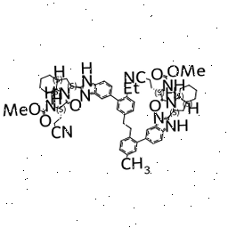 CCc1ccc(CCc2ccc(C)cc2-c2ccc3[nH]c([C@@H]4C[C@@H]5CCCC[C@@H]5N4C(=O)[C@H](CCC#N)NC(=O)OC)nc3c2)cc1-c1ccc2[nH]c([C@@H]3C[C@@H]4CCCC[C@@H]4N3C(=O)[C@H](CCC#N)NC(=O)OC)nc2c1